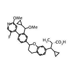 COc1cc(-c2ccc(C3CCc4ccc(C(C5CC5)[C@H](C)C(=O)O)cc4O3)cc2C(OC)C2CC2)c(F)cn1